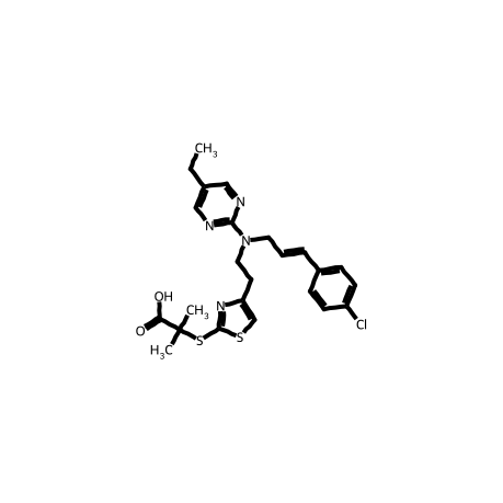 CCc1cnc(N(C/C=C/c2ccc(Cl)cc2)CCc2csc(SC(C)(C)C(=O)O)n2)nc1